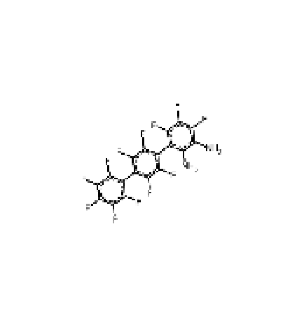 Nc1c(N)c(-c2c(F)c(F)c(-c3c(F)c(F)c(F)c(F)c3F)c(F)c2F)c(F)c(F)c1F